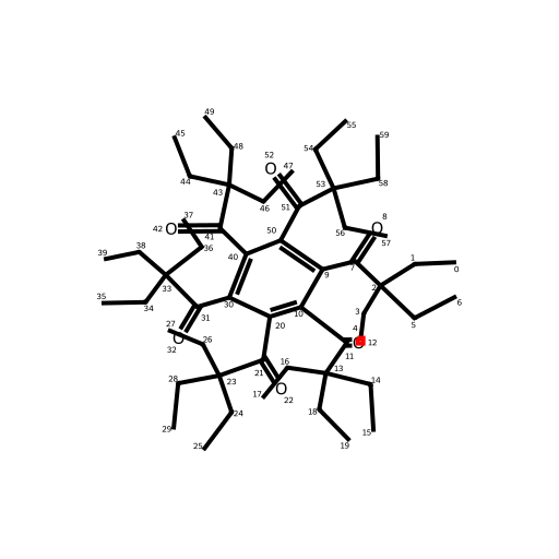 CCC(CC)(CC)C(=O)c1c(C(=O)C(CC)(CC)CC)c(C(=O)C(CC)(CC)CC)c(C(=O)C(CC)(CC)CC)c(C(=O)C(CC)(CC)CC)c1C(=O)C(CC)(CC)CC